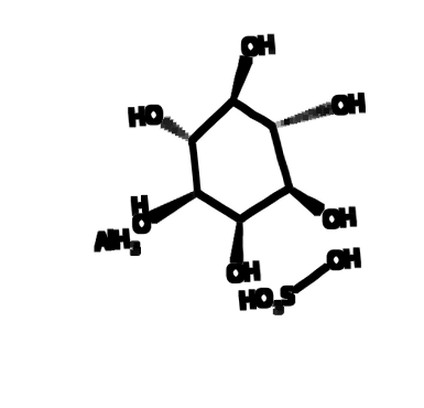 O=S(=O)(O)O.O[C@H]1[C@H](O)[C@@H](O)[C@H](O)[C@@H](O)[C@H]1O.[AlH3]